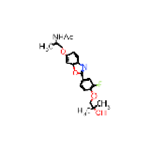 CC(=O)N[C@@H](C)COc1ccc2nc(-c3ccc(OCC(C)(C)O)c(F)c3)oc2c1